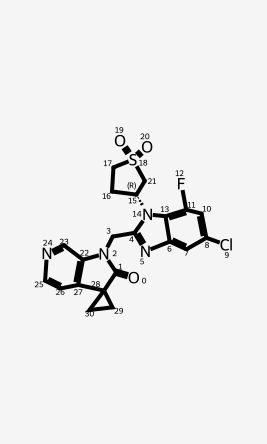 O=C1N(Cc2nc3cc(Cl)cc(F)c3n2[C@@H]2CCS(=O)(=O)C2)c2cnccc2C12CC2